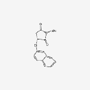 CCCCN1C(=O)CC(Oc2ccc3ccccc3c2)C1=O